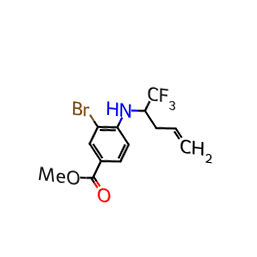 C=CCC(Nc1ccc(C(=O)OC)cc1Br)C(F)(F)F